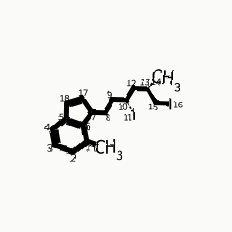 CC1CC=CC2=C1C(CC[C@@H](I)C[C@H](C)CI)C=C2